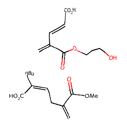 C=C(C=CC(=O)O)C(=O)OCCO.C=C(CC=C(CCCC)C(=O)O)C(=O)OC